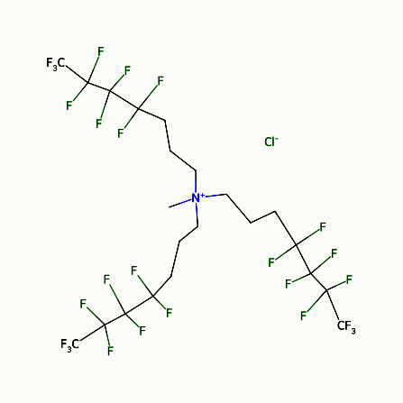 C[N+](CCCC(F)(F)C(F)(F)C(F)(F)C(F)(F)F)(CCCC(F)(F)C(F)(F)C(F)(F)C(F)(F)F)CCCC(F)(F)C(F)(F)C(F)(F)C(F)(F)F.[Cl-]